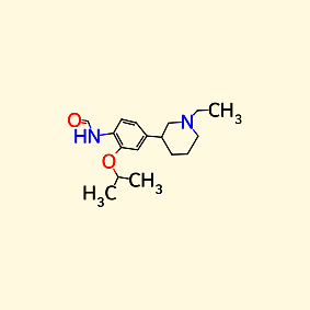 CCN1CCCC(c2ccc(NC=O)c(OC(C)C)c2)C1